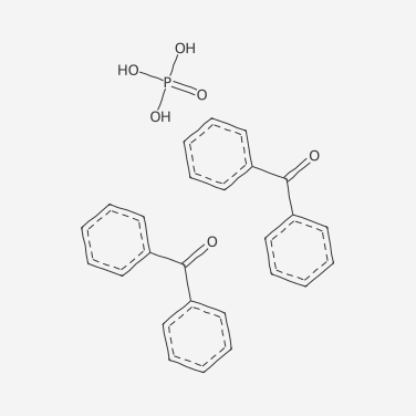 O=C(c1ccccc1)c1ccccc1.O=C(c1ccccc1)c1ccccc1.O=P(O)(O)O